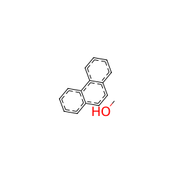 CO.c1ccc2c(c1)ccc1ccccc12